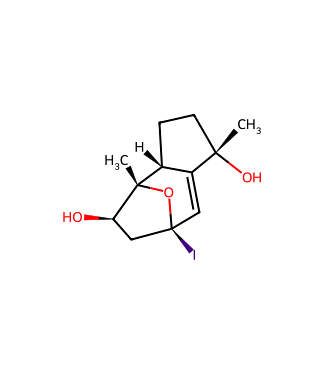 C[C@]12O[C@](I)(C=C3[C@H]1CC[C@]3(C)O)C[C@H]2O